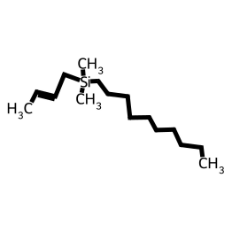 CC=CC[Si](C)(C)CCCCCCCCCC